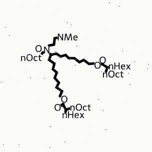 CCCCCCCCC(=O)N(CCCNC)C(CCCCCCCCCOC(=O)C(CCCCCC)CCCCCCCC)CCCCCCCCCOC(=O)C(CCCCCC)CCCCCCCC